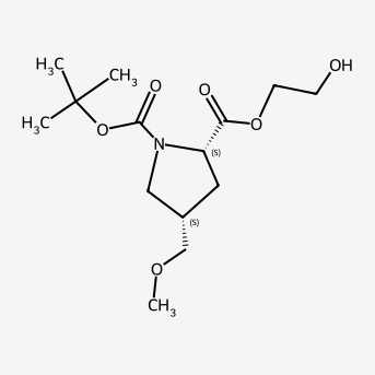 COC[C@H]1C[C@@H](C(=O)OCCO)N(C(=O)OC(C)(C)C)C1